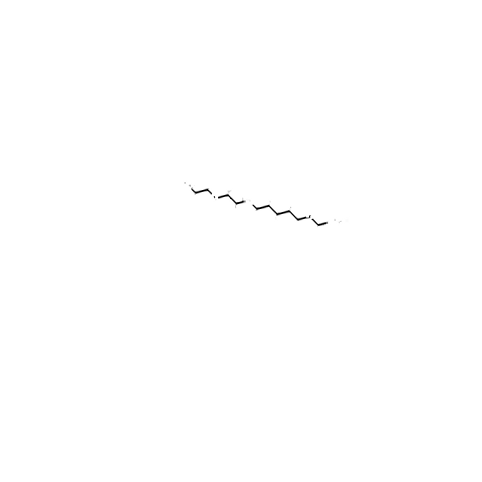 CCCCCCCCCCCCCCCCNCCCCCN